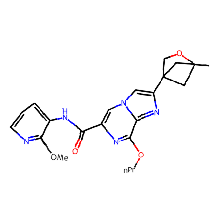 CCCOc1nc(C(=O)Nc2cccnc2OC)cn2cc(C34COC(C)(C3)C4)nc12